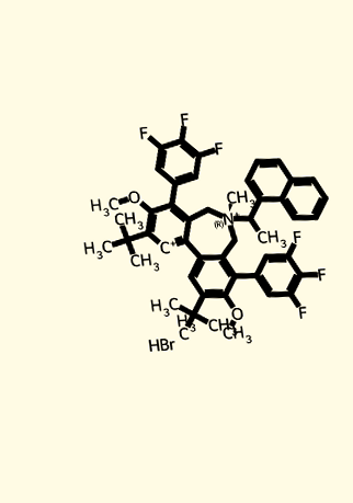 Br.COC1=C(C(C)(C)C)[C+]=C2C(=C1c1cc(F)c(F)c(F)c1)C[N@@+](C)(C(C)c1cccc3ccccc13)Cc1c2cc(C(C)(C)C)c(OC)c1-c1cc(F)c(F)c(F)c1